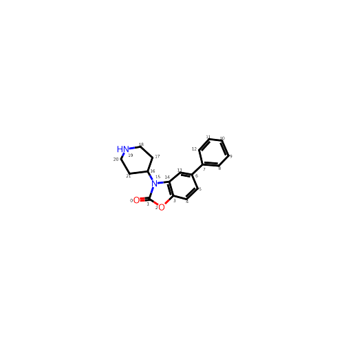 O=c1oc2ccc(-c3ccccc3)cc2n1C1CCNCC1